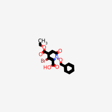 CCOC(=O)c1cc(=O)n(OCc2ccccc2)c(C(=O)O)c1Br